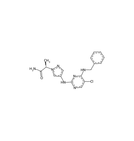 C[C@H](C(N)=O)n1cc(Nc2ncc(Cl)c(NCc3ccccc3)n2)cn1